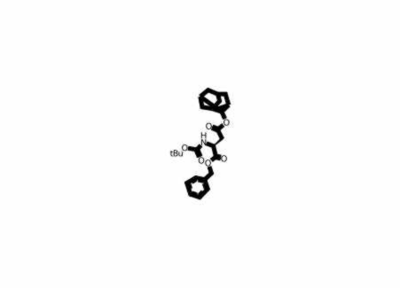 CC(C)(C)OC(=O)N[C@@H](CC(=O)OC1C2CC3CC(C2)CC1C3)C(=O)OCc1ccccc1